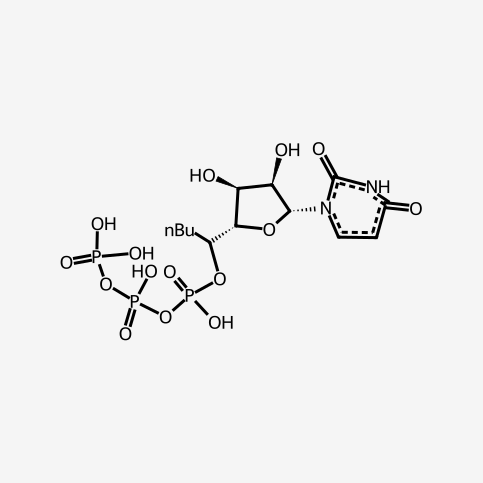 CCCCC(OP(=O)(O)OP(=O)(O)OP(=O)(O)O)[C@H]1O[C@@H](n2ccc(=O)[nH]c2=O)[C@H](O)[C@@H]1O